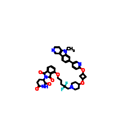 Cn1c2ccncc2c2ccc(-c3ccc(OC4CC(OC5CCN(CC(F)(F)CCCOc6cccc7c6C(=O)N(C6CCC(=O)NC6=O)C7=O)CC5)C4)nc3)cc21